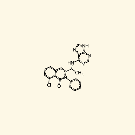 CC(Nc1ncnc2[nH]cnc12)c1cc2cccc(Cl)c2c(=O)n1-c1ccccc1